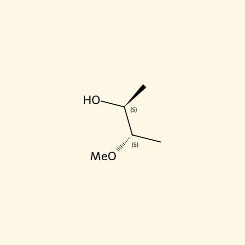 CO[C@@H](C)[C@H](C)O